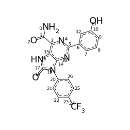 NC(=O)c1nc(-c2cccc(O)c2)nc2c1[nH]c(=O)n2-c1ccc(C(F)(F)F)cc1